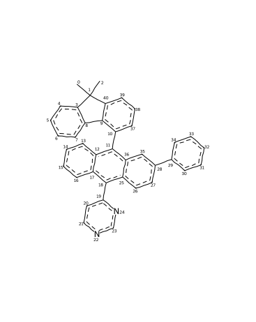 CC1(C)c2ccccc2-c2c(-c3c4ccccc4c(-c4ccncn4)c4ccc(-c5ccccc5)cc34)cccc21